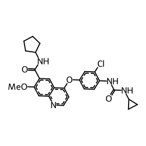 COc1cc2nccc(Oc3ccc(NC(=O)NC4CC4)c(Cl)c3)c2cc1C(=O)NC1CCCC1